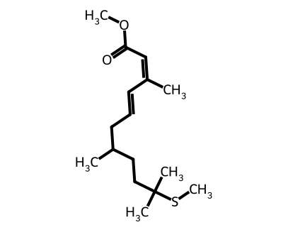 COC(=O)C=C(C)C=CCC(C)CCC(C)(C)SC